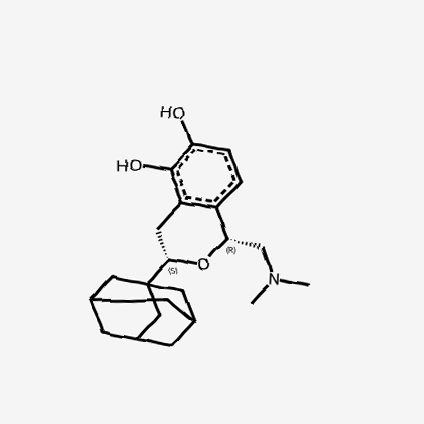 CN(C)C[C@@H]1O[C@H](C23CC4CC(CC(C4)C2)C3)Cc2c1ccc(O)c2O